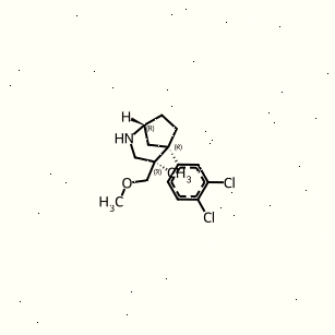 COC[C@@]1(C)CN[C@@H]2CC[C@]1(c1ccc(Cl)c(Cl)c1)C2